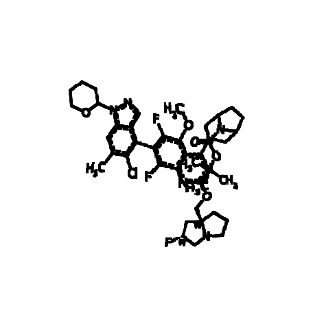 COc1c(F)c(-c2c(Cl)c(C)cc3c2cnn3C2CCCCO2)c(F)c2nc(OC[C@@]34CCCN3C[C@H](F)C4)nc(N3CC4CCC(C3)N4C(=O)OC(C)(C)C)c12